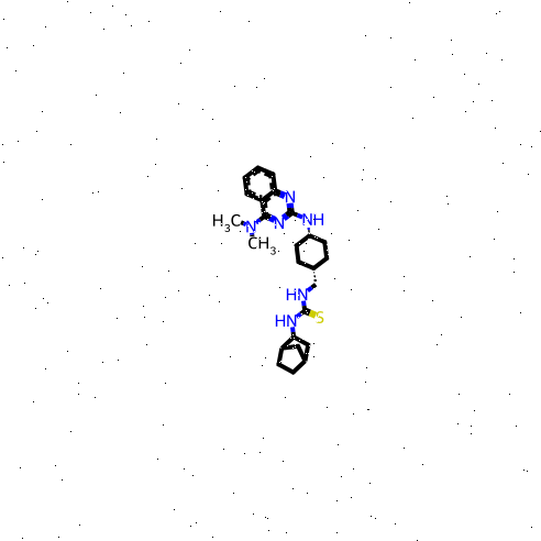 CN(C)c1nc(N[C@H]2CC[C@@H](CNC(=S)NC3CC4CCC3C4)CC2)nc2ccccc12